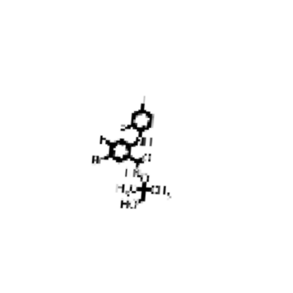 CC(C)(CO)ONC(=O)c1cc(Br)c(F)cc1Nc1ccc(I)cc1F